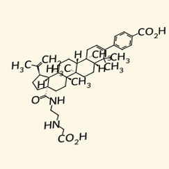 C=C(C)[C@@H]1CC[C@]2(C(=O)NCCNCC(=O)O)CC[C@]3(C)[C@H](CC[C@@H]4[C@@]5(C)CC=C(c6ccc(C(=O)O)cc6)C(C)(C)[C@@H]5CC[C@]43C)[C@@H]12